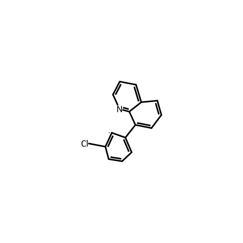 Clc1[c]c(-c2cccc3cccnc23)ccc1